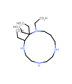 O=C(O)CC1NCCNCCNCCCN(CC(=O)O)C1(CC(=O)O)CC(=O)O